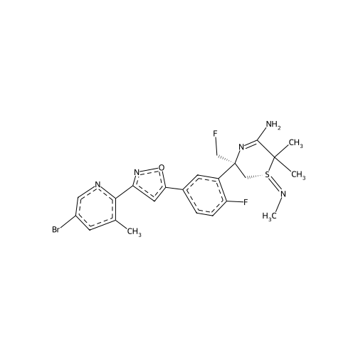 CN=[S@@]1C[C@@](CF)(c2cc(-c3cc(-c4ncc(Br)cc4C)no3)ccc2F)N=C(N)C1(C)C